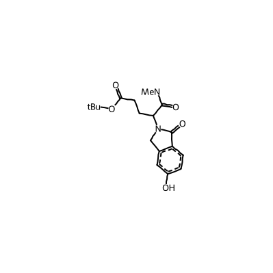 CNC(=O)C(CCC(=O)OC(C)(C)C)N1Cc2cc(O)ccc2C1=O